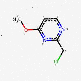 COc1ccnc(CCl)n1